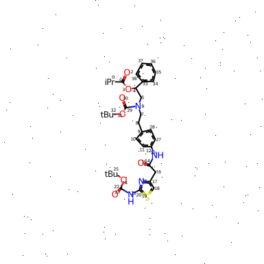 CC(C)C(=O)OC(CN(CCc1ccc(NC(=O)Cc2csc(NC(=O)OC(C)(C)C)n2)cc1)C(=O)OC(C)(C)C)c1ccccc1